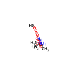 C#CCOCCOCCOCCOCCC(=O)N1CCN(CC(CC(=O)N[C@@H](CCCC)C(=O)OC)C(=O)N[C@@H](CCCC)C(=O)OC)CC1